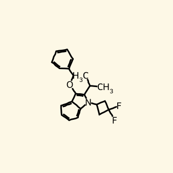 CC(C)c1c(OCc2ccccc2)c2ccccc2n1C1CC(F)(F)C1